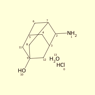 Cl.NC1C2CC3CC1CC(O)(C3)C2.O